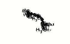 Cc1c(-c2ccc(C3=CCN(/C(=N/C(=O)OC(C)(C)O)NC(=O)OC(C)(C)C)CC3)cc2)nnn1-c1ccc(C2=CCN(/C(=N/C(=O)OC(C)(C)C)NC(=O)OC(C)(C)C)CC2)cc1